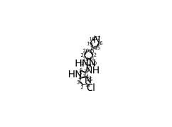 Clc1ccc2[nH]cc(Nc3nc4cc(-c5ccncc5)ccc4[nH]3)c2n1